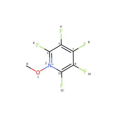 CO[n+]1c(F)c(F)c(F)c(F)c1F